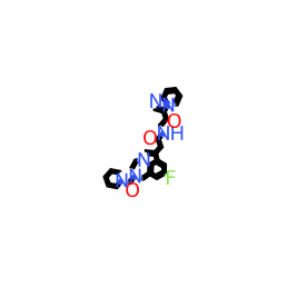 O=C(Cc1cn2c3c(cc(F)cc13)CN(C(=O)N1CCCCC1)CC2)NCC(=O)c1cnc2ccccn12